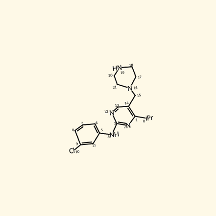 CC(C)c1nc(Nc2cccc(Cl)c2)ncc1CN1CCNCC1